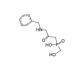 O=C(CNCc1ccccc1)CP(=O)(O)CO